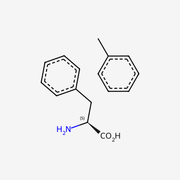 Cc1ccccc1.N[C@@H](Cc1ccccc1)C(=O)O